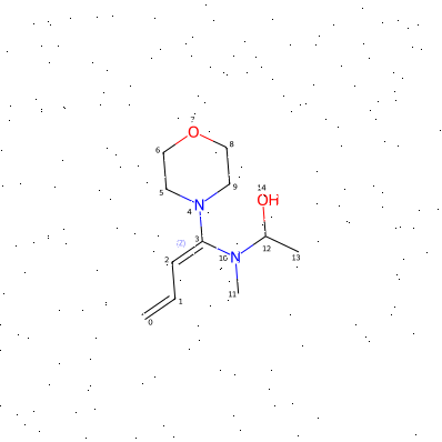 C=C/C=C(/N1CCOCC1)N(C)C(C)O